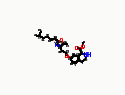 COC(=O)C1NCCc2ccc(OCCc3nc(/C=C/CCC(C)C)oc3C)cc21